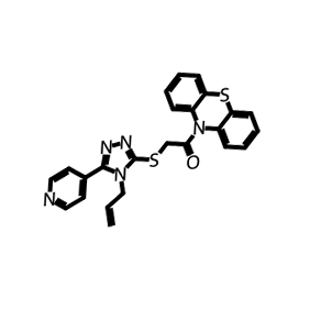 C=CCn1c(SCC(=O)N2c3ccccc3Sc3ccccc32)nnc1-c1ccncc1